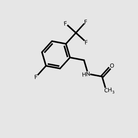 CC(=O)NCc1cc(F)ccc1C(F)(F)F